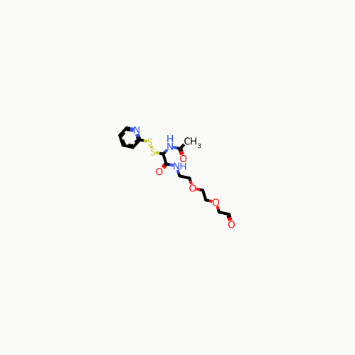 CC(=O)NC(SSc1ccccn1)C(=O)NCCOCCOCC=O